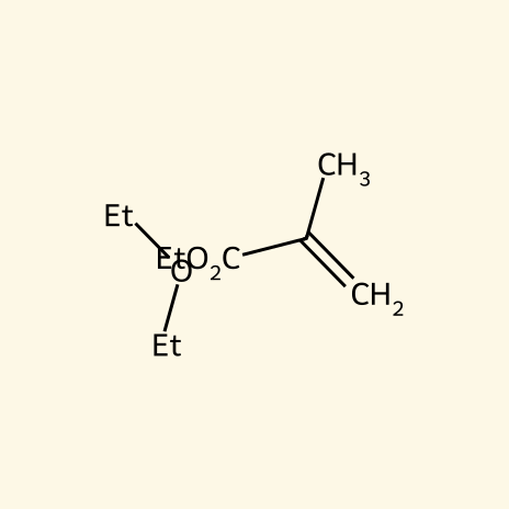 C=C(C)C(=O)OCC.CCOCC